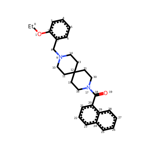 CCOc1ccccc1CN1CCC2(CC1)CCN(C(=O)c1cccc3ccccc13)CC2